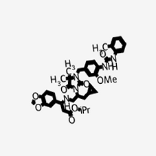 COc1cc(CN2C(=O)N(C(CNC(CC(=O)OC(C)C)c3ccc4c(c3)OCO4)CC3CC3)C(=O)C2(C)C)ccc1NC(=O)Nc1ccccc1C